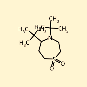 CC(C)(C)C1CCS(=O)(=O)CCN1C(C)(C)C